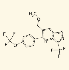 COCc1cc2nnc(C(F)(F)F)n2nc1-c1ccc(OC(F)(F)F)cc1